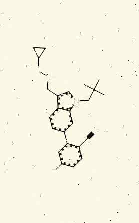 CC(C)(C)Cn1cc(CNSC2CC2)c2ccc(-c3cc(F)ccc3C#N)cc21